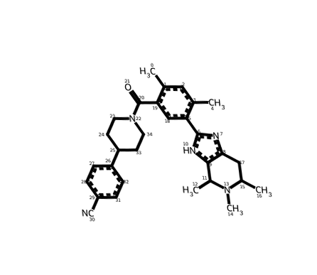 Cc1cc(C)c(-c2nc3c([nH]2)C(C)N(C)C(C)C3)cc1C(=O)N1CCC(c2ccc(C#N)cc2)CC1